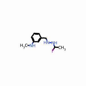 CNc1cccc(CNNC(C)I)c1